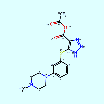 CN1CCN(c2cccc(Sc3[nH]nnc3C(=O)OC(=O)C(F)(F)F)c2)CC1